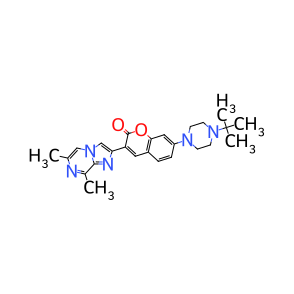 Cc1cn2cc(-c3cc4ccc(N5CCN(C(C)(C)C)CC5)cc4oc3=O)nc2c(C)n1